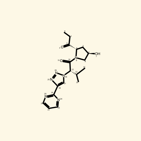 CCC(=O)[C@@H]1C[C@@H](O)CN1C(=O)[C@H](C(C)C)n1cc(-c2ncccn2)nn1